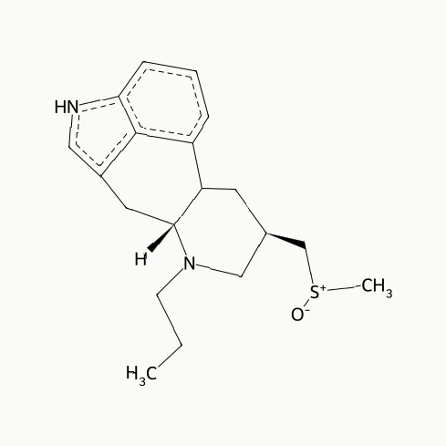 CCCN1C[C@H](C[S+](C)[O-])CC2c3cccc4[nH]cc(c34)C[C@H]21